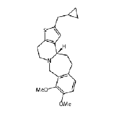 COc1ccc2c(c1OC)CN1CCc3sc(CC4CC4)cc3[C@@H]1CC2